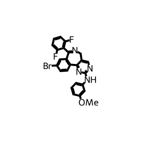 COc1cccc(Nc2ncc3c(n2)-c2ccc(Br)cc2C(c2c(F)cccc2F)=NC3)c1